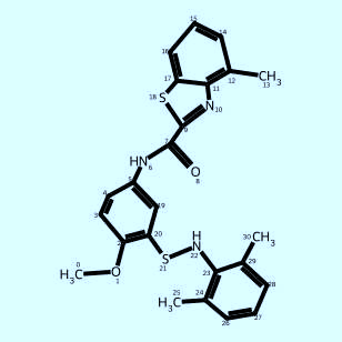 COc1ccc(NC(=O)c2nc3c(C)cccc3s2)cc1SNc1c(C)cccc1C